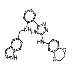 c1ccc(-c2nnc(Nc3ccc4c(c3)OCCO4)[nH]2)c(NCc2ccc3[nH]ncc3c2)c1